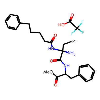 COC(=O)C(Cc1ccccc1)NC(=O)C(N)(CC(C)C)NC(=O)CCCCc1ccccc1.O=C(O)C(F)(F)F